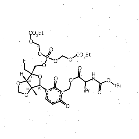 CCOC(=O)OCOP(=O)(OCOC(=O)OCC)OC[C@@]1(CF)O[C@@H](n2ccc(=O)n(COC(=O)C(NC(=O)OC(C)(C)C)C(C)C)c2=O)[C@]2(C)OCO[C@H]12